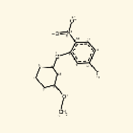 COC1CCCC(Oc2cc(F)ccc2[N+](=O)[O-])C1